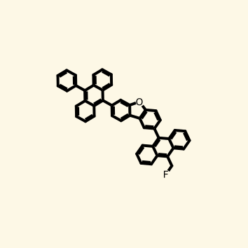 FCc1c2ccccc2c(-c2ccc3oc4cc(-c5c6ccccc6c(-c6ccccc6)c6ccccc56)ccc4c3c2)c2ccccc12